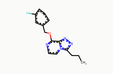 CCCc1nnc2c(OCc3cccc(F)c3)nccn12